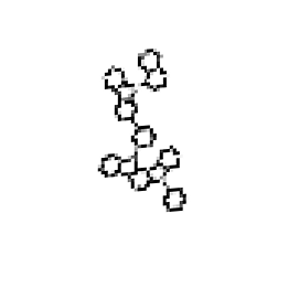 c1ccc(-n2c3ccccc3c3c2ccc2c4ccccc4n(-c4cccc(-c5ccc6c7ccccc7n(-c7cccc8ccccc78)c6c5)c4)c23)cc1